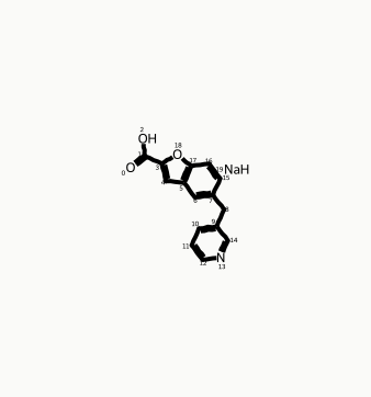 O=C(O)c1cc2cc(Cc3cccnc3)ccc2o1.[NaH]